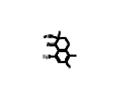 CC(=O)NC1(C)CCc2c(C)c(F)cc(N)c2C1=O